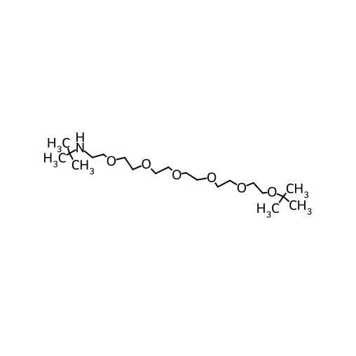 CC(C)(C)NCCOCCOCCOCCOCCOCCOC(C)(C)C